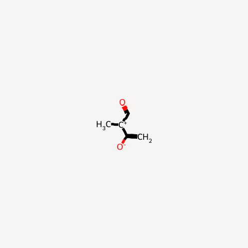 C=C([O-])[C+](C)C=O